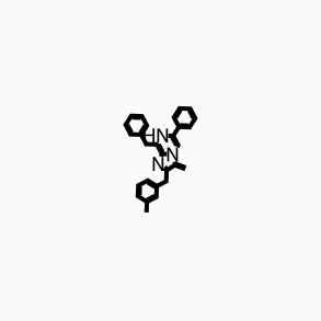 C=c1c(Cc2cccc(C)c2)nc2n1C=C(c1ccccc1)NC=2Cc1ccccc1